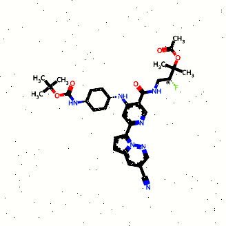 CC(=O)OC(C)(C)[C@H](F)CNC(=O)c1cnc(-c2ccc3cc(C#N)cnn23)cc1N[C@H]1CC[C@H](NC(=O)OC(C)(C)C)CC1